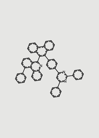 c1ccc(-c2cc(-c3ccc(-c4c(-c5nc6ccccc6c6c(-c7ccccc7)cccc56)c5ccccc5c5ccccc45)cc3)nc(-c3ccccc3)n2)cc1